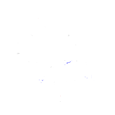 NC(=O)[C@@H](N)Cc1ccc(O)cc1.N[C@@H](Cc1ccccc1)C(=O)O